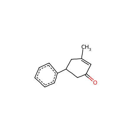 CC1=CC(=O)CC(c2ccccc2)C1